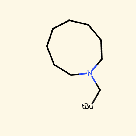 CC(C)(C)CN1CCCCCCCC1